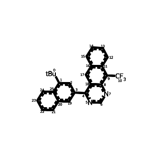 CC(C)(C)c1cc(-c2ncnc3c(C(F)(F)F)c4ccccc4cc23)cc2ccccc12